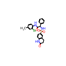 Cc1ccc(NC(=O)C(NS(=O)(=O)c2ccc3c(c2)CCC(=O)N3)c2ccccc2)c(Br)c1